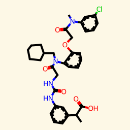 CC(C(=O)O)c1cccc(NC(=O)NCC(=O)N(CC2CCCCC2)c2ccccc2OCC(=O)N(C)c2cccc(Cl)c2)c1